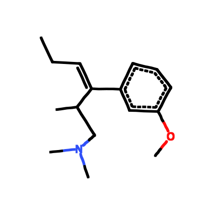 CCC=C(c1cccc(OC)c1)C(C)CN(C)C